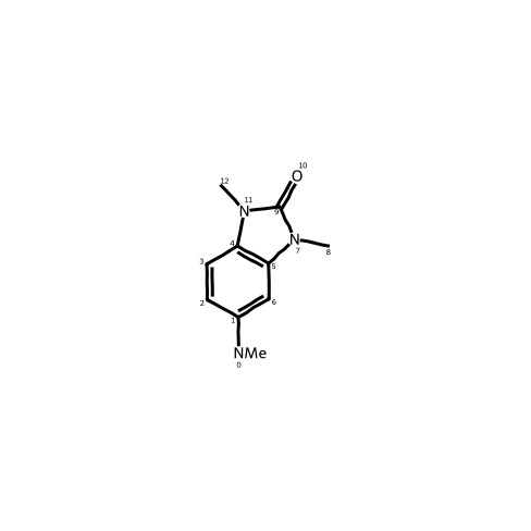 CNc1ccc2c(c1)n(C)c(=O)n2C